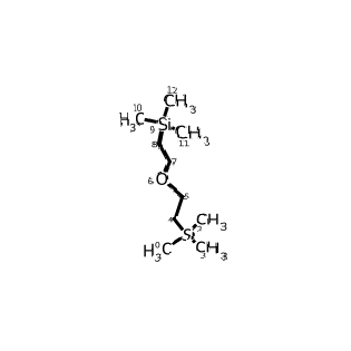 C[Si](C)(C)CCOCC[Si](C)(C)C